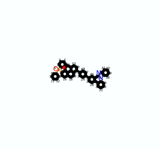 O=P(c1ccccc1)(c1ccccc1)c1ccc2ccc3c(-c4ccc(-c5ccc6c7ccccc7n7c8ccccc8nc7c6c5)cc4)ccc4ccc1c2c43